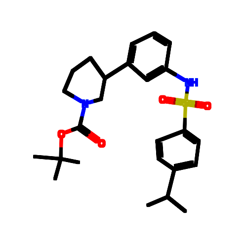 CC(C)c1ccc(S(=O)(=O)Nc2cccc(C3CCCN(C(=O)OC(C)(C)C)C3)c2)cc1